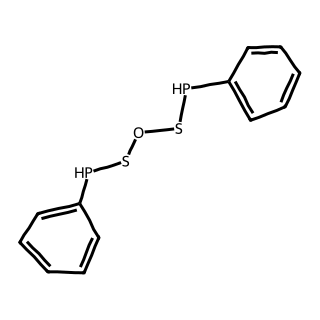 c1ccc(PSOSPc2ccccc2)cc1